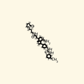 Cc1cccc(NC(=O)Nc2ccc(-c3csc4c(C=CC(=O)NCCCN5CCCC5=O)cnc(N)c34)cc2)c1